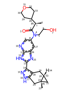 C[C@@H](C(=O)N(CCO)c1cnc2[nH]c(-c3n[nH]c4c3C[C@@H]3C[C@]3(C)C4)nc2c1)C1CCOCC1